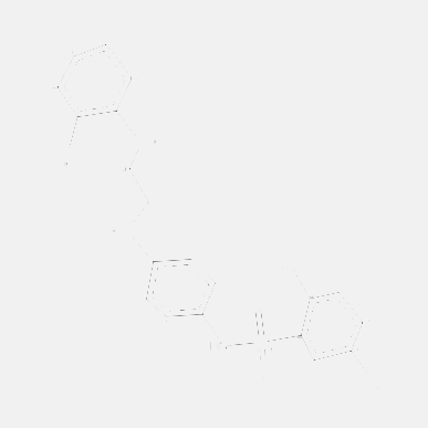 Cc1ccc(F)cc1S(=O)(=O)Nc1ccc(OCCOc2ccccc2C(=O)O)cc1